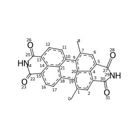 Cc1cc2c3c(cc(C)c4c5ccc6c7c(ccc(c1c34)c75)C(=O)NC6=O)C(=O)NC2=O